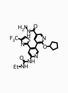 CCNC(=O)Nc1cc(-c2nc(C(F)(F)F)cs2)c(-c2cc(C(=O)NN)cnc2OC2CCCC2)cn1